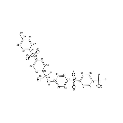 CCC(C)(C)c1ccc(S(=O)(=O)c2ccc(OC(C)(CC)c3ccc(S(=O)(=O)c4ccc(C)cc4)cc3)cc2)cc1